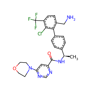 C[C@@H](NC(=O)c1cc(N2CCOCC2)ncn1)c1ccc(-c2c(CN)ccc(C(F)(F)F)c2Cl)cc1